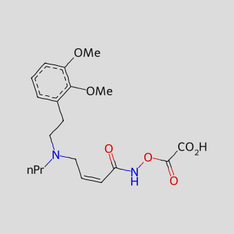 CCCN(C/C=C\C(=O)NOC(=O)C(=O)O)CCc1cccc(OC)c1OC